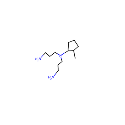 CC1CCCC1N(CCCN)CCCN